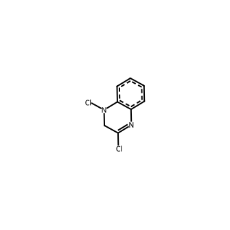 ClC1=Nc2ccccc2N(Cl)C1